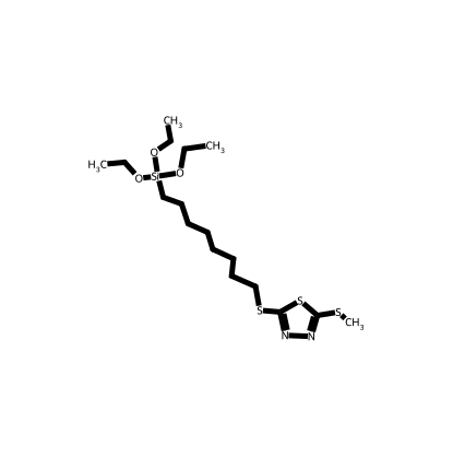 CCO[Si](CCCCCCCCSc1nnc(SC)s1)(OCC)OCC